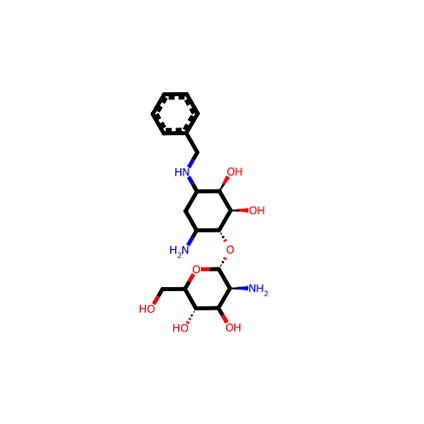 NC1CC(NCc2ccccc2)[C@@H](O)[C@@H](O)[C@@H]1O[C@H]1OC(CO)[C@@H](O)C(O)[C@@H]1N